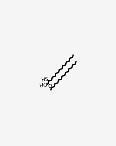 CCCCCCCCCCCCCCC(S)C(=O)O.CCCCCCCCCCCCCCCC